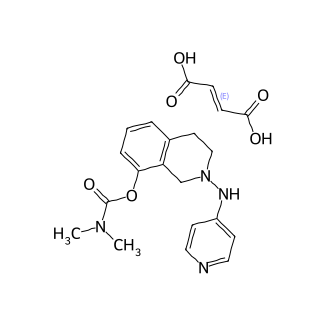 CN(C)C(=O)Oc1cccc2c1CN(Nc1ccncc1)CC2.O=C(O)/C=C/C(=O)O